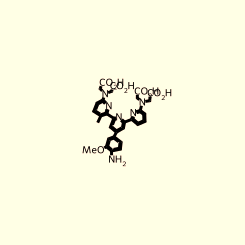 COc1cc(-c2cc(-c3cccc(N(CC(=O)O)CC(=O)O)n3)nc(-c3nc(N(CC(=O)O)CC(=O)O)ccc3C)c2)ccc1N